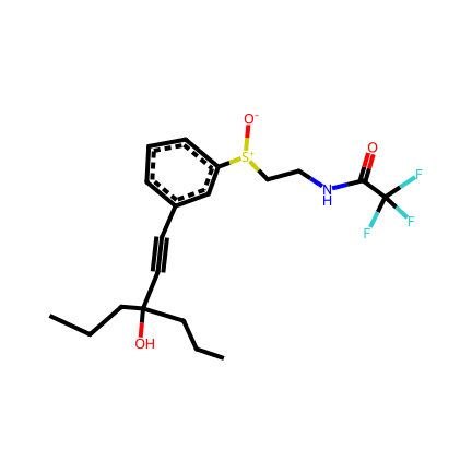 CCCC(O)(C#Cc1cccc([S+]([O-])CCNC(=O)C(F)(F)F)c1)CCC